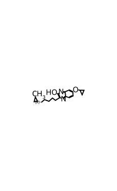 CC1C[C@H]1CCCCCc1nc2ccc(OC3CC3)cc2nc1O